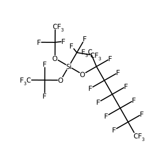 FC(F)(F)C(F)(F)O[Si](OC(F)(F)C(F)(F)F)(OC(F)(C(F)(F)F)C(F)(F)C(F)(F)C(F)(F)C(F)(F)C(F)(F)F)C(F)(F)C(F)(F)F